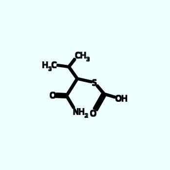 CC(C)C(SC(=O)O)C(N)=O